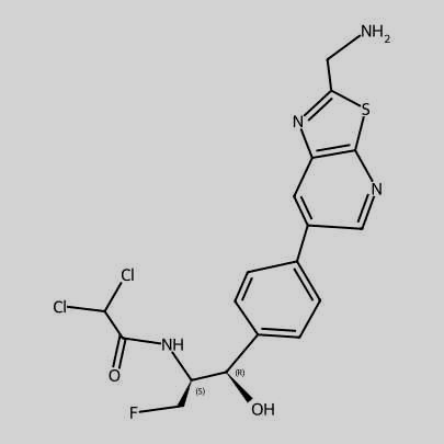 NCc1nc2cc(-c3ccc([C@@H](O)[C@@H](CF)NC(=O)C(Cl)Cl)cc3)cnc2s1